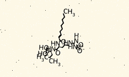 CCCCCCCCC=CC(=O)N[C@@H](CCCNC(=N)N[N+](=O)[O-])C(=O)N[C@@H](CC(C)C)B(O)O